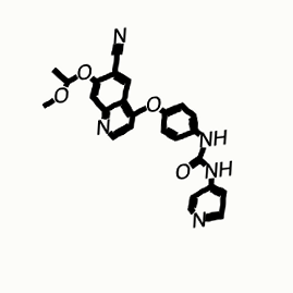 COC(C)Oc1cc2nccc(Oc3ccc(NC(=O)Nc4ccncc4)cc3)c2cc1C#N